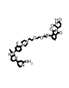 Cc1nc2ccc(-c3ccnc(N)c3)nc2n1-c1ccc(N2CCN(CCOCCOCCNC3=C4C(=O)N(C5CCC(=O)NC5=O)C(=O)C4CC=C3)CC2)c(F)c1